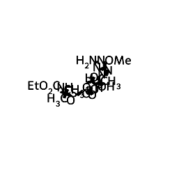 CCOC(=O)NCC(C)(C)C(=O)SCCOP1(=O)OC[C@H]2O[C@@H](n3cnc4c(OC)nc(N)nc43)[C@](C)(O)[C@@H]2O1